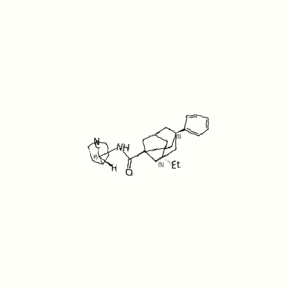 CC[C@@]12CC3CC(C(=O)N[C@H]4CN5CCC4CC5)(C1)C[C@](c1ccccc1)(C3)C2